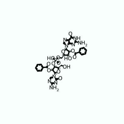 Nc1ncn([C@@H]2O[C@H](CO)[C@H](OP(=O)(O)OC[C@H]3O[C@@H](n4cnc5c(=O)[nH]c(N)nc54)[C@@H](OC(=O)c4ccccc4)[C@H]3O)[C@@H]2OC(=O)c2ccccc2)c(=O)n1